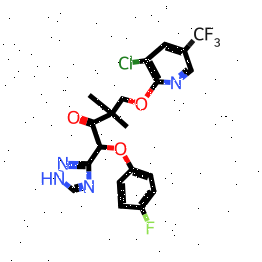 CC(C)(COc1ncc(C(F)(F)F)cc1Cl)C(=O)C(Oc1ccc(F)cc1)c1nc[nH]n1